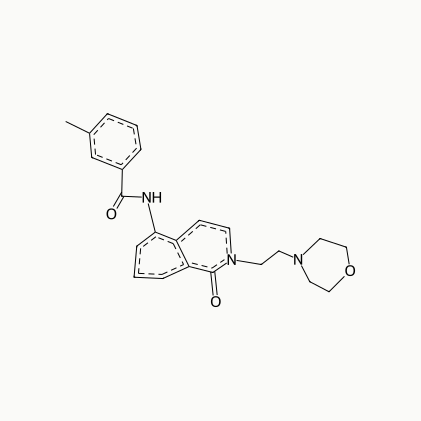 Cc1cccc(C(=O)Nc2cccc3c(=O)n(CCN4CCOCC4)ccc23)c1